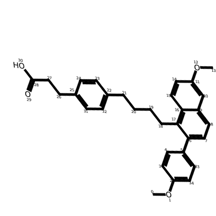 COc1ccc(-c2ccc3cc(OC)ccc3c2CCCCc2ccc(CCC(=O)O)cc2)cc1